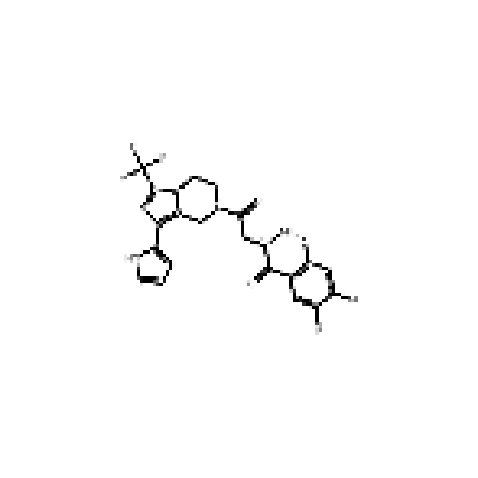 N[C@H](CC(=O)N1CCn2c(C(F)(F)F)nc(-c3ccn[nH]3)c2C1)C(=O)c1cc(F)c(F)cc1F